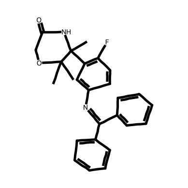 CC1(C)OCC(=O)NC1(C)c1cc(N=C(c2ccccc2)c2ccccc2)ccc1F